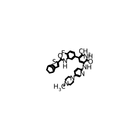 Cc1[nH]c(=O)c(Nc2ccc(N3CCN(C)CC3)cn2)cc1-c1ccc(F)c(NC(=O)c2cc3c(s2)C2CCC3CC2)c1